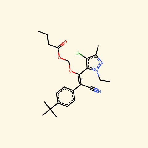 CCCC(=O)OCO/C(=C(/C#N)c1ccc(C(C)(C)C)cc1)c1c(Cl)c(C)nn1CC